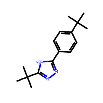 CC(C)(C)c1ccc(-c2nnc(C(C)(C)C)[nH]2)cc1